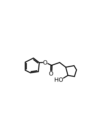 O=C(CC1CCCC1O)Oc1ccccc1